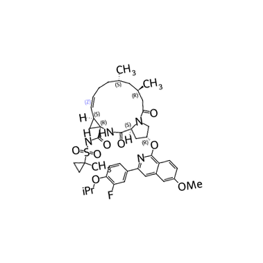 COc1ccc2c(O[C@@H]3C[C@H]4C(=O)N[C@]5(C(=O)NS(=O)(=O)C6(C)CC6)C[C@H]5/C=C\CC[C@H](C)C[C@@H](C)CC(=O)N4C3)nc(-c3ccc(OC(C)C)c(F)c3)cc2c1